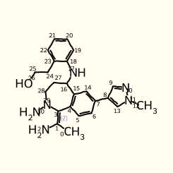 C/C(N)=C1\c2ccc(-c3cnn(C)c3)cc2C(Nc2ccccc2CCO)CCN1N